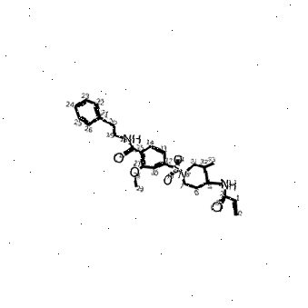 C=CC(=O)NC1CCN(S(=O)(=O)c2ccc(C(=O)NCCc3ccccc3)c(OC)c2)CC1C